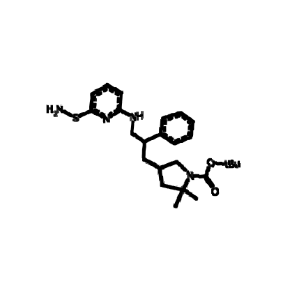 CC(C)(C)OC(=O)N1CC(CC(CNc2cccc(SN)n2)c2ccccc2)CC1(C)C